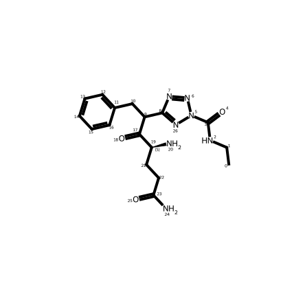 CCNC(=O)n1nnc([C](Cc2ccccc2)C(=O)[C@@H](N)CCC(N)=O)n1